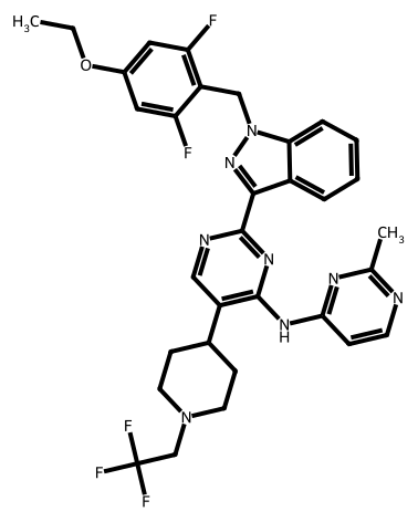 CCOc1cc(F)c(Cn2nc(-c3ncc(C4CCN(CC(F)(F)F)CC4)c(Nc4ccnc(C)n4)n3)c3ccccc32)c(F)c1